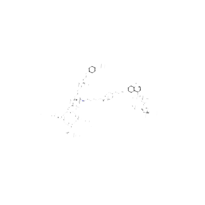 Cc1ccc(CCCC(=O)NCCCC[C@@H](N/N=C/CCCCCC(=O)N2CCC(CCCOc3ccc4nccc(C(=O)NCC(=O)N5CC(C)(F)C[C@@H]5C#N)c4c3)CC2)NC(=O)CN2CCN(COC=O)CCN(COC=O)CCN(CC(=O)O)CC2)cc1